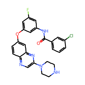 O=C(Nc1cc(F)cc(Oc2ccc3ncc(N4CCNCC4)nc3c2)c1)c1cccc(Cl)c1